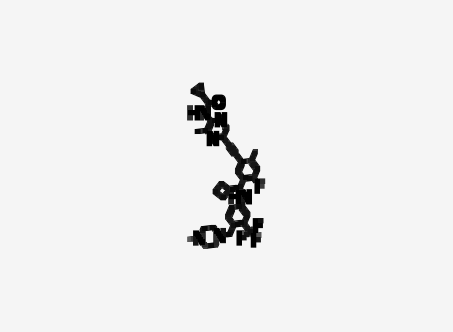 Cc1cc(F)c(C(Nc2ccc(CN3CCN(C)CC3)c(C(F)(F)F)c2)=C2CCC2)cc1C#Cc1cnc(NC(=O)C2CC2)c(C)n1